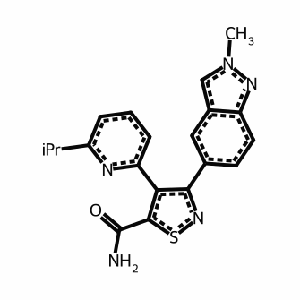 CC(C)c1cccc(-c2c(-c3ccc4nn(C)cc4c3)nsc2C(N)=O)n1